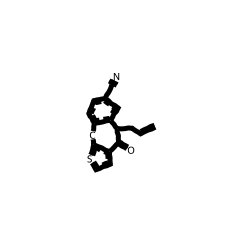 C=CCC1C(=O)c2ccsc2Cc2ccc(C#N)cc21